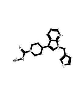 CC(C)(C)OC(=O)N1CCC(c2cn(Cc3ccoc3)c3ncccc23)CC1